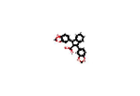 O=C(O)C1=C(c2ccc3c(c2)OCO3)c2ccccc2C1c1ccc2c(c1)OCO2